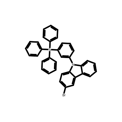 Brc1ccc2c(c1)c1ccccc1n2-c1cccc([Si](c2ccccc2)(c2ccccc2)c2ccccc2)c1